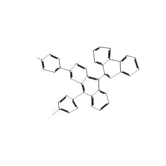 CC(C)(C)c1ccc(-c2c3ccccc3c(-c3cc4ccccc4c4ccccc34)c3ccc(-c4ccc(C(F)(F)F)cc4)cc23)cc1